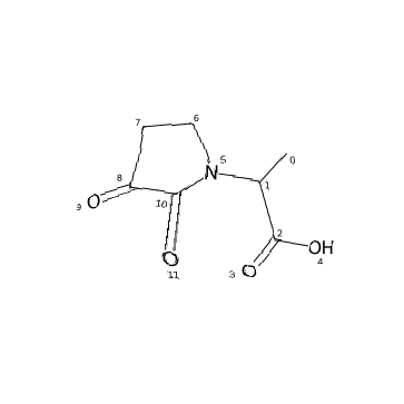 CC(C(=O)O)N1CCC(=O)C1=O